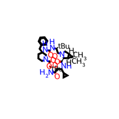 CC(C)(C)OC(=O)N1CCCC(Cc2ccccc2)(NC(=O)N[C@H](C(=O)N2C[C@H]3[C@@H]([C@H]2C(=O)NC(C(=O)C(N)=O)C2CC2)C3(C)C)C(C)(C)C)C1